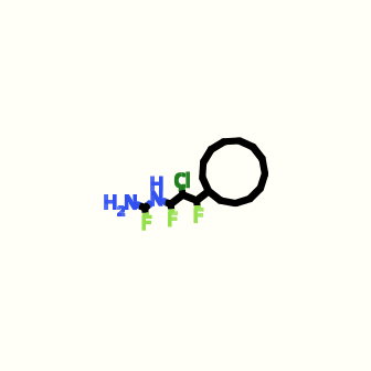 NC(F)NC(F)C(Cl)C(F)C1CCCCCCCCCCCC1